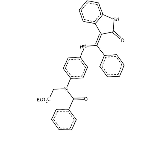 CCOC(=O)CN(C(=O)c1ccccc1)c1ccc(NC(=C2C(=O)Nc3ccccc32)c2ccccc2)cc1